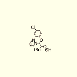 CC(C)(C)C(OO)C(Oc1ccc(Cl)cc1)n1cncn1